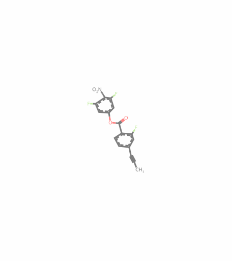 CC#Cc1ccc(C(=O)Oc2cc(F)c([N+](=O)[O-])c(F)c2)c(F)c1